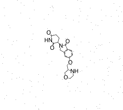 O=C1CCC(N2Cc3cc(OCC4COCCN4)ccc3C2=O)C(=O)N1